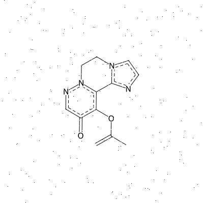 C=C(C)Oc1c2n(ncc1=O)CCn1ccnc1-2